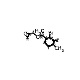 Cc1ccc([C@@H](C)OC[C@H]2CO2)c(Br)c1F